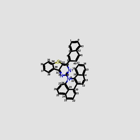 c1ccc2cc(-c3nc(N4c5c(ccc6ccccc56)-c5cccc6cccc4c56)nc4c3sc3ccccc34)ccc2c1